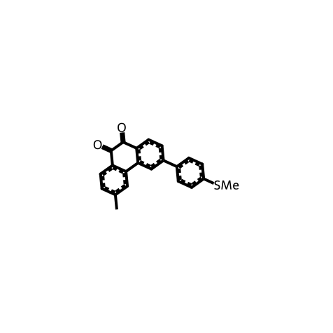 CSc1ccc(-c2ccc3c(c2)-c2cc(C)ccc2C(=O)C3=O)cc1